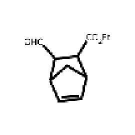 CCOC(=O)C1C2C=CC(C2)C1C=O